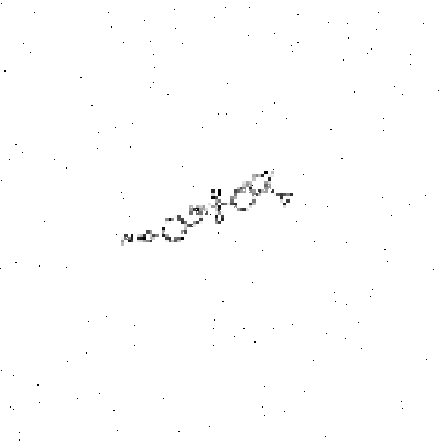 COc1ccc(CNS(=O)(=O)c2ccc3c(C4CC4)ncn3c2)cc1